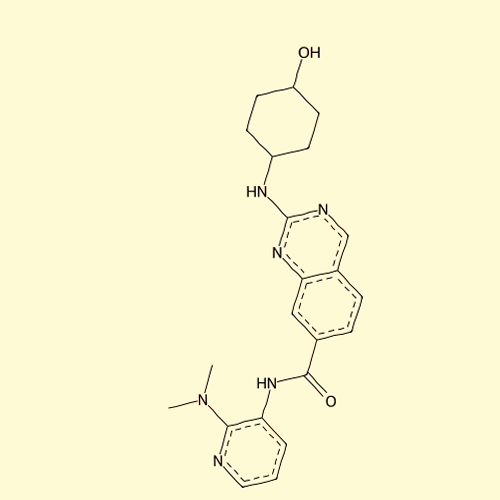 CN(C)c1ncccc1NC(=O)c1ccc2cnc(NC3CCC(O)CC3)nc2c1